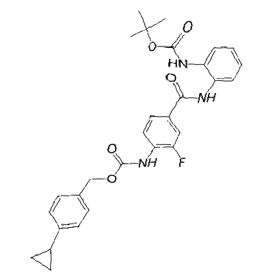 CC(C)(C)OC(=O)Nc1ccccc1NC(=O)c1ccc(NC(=O)OCc2ccc(C3CC3)cc2)c(F)c1